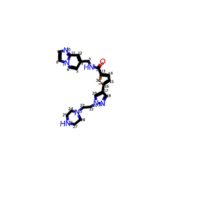 O=C(NCc1ccn2ccnc2c1)c1ccc(-c2cnn(CCN3CCNCC3)c2)s1